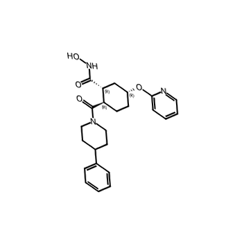 O=C(NO)[C@@H]1C[C@H](Oc2ccccn2)CC[C@H]1C(=O)N1CCC(c2ccccc2)CC1